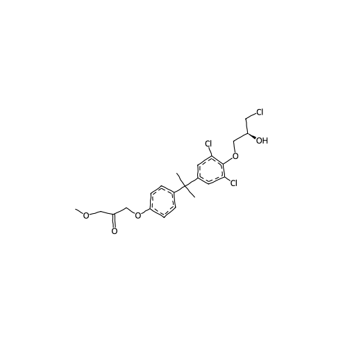 COCC(=O)COc1ccc(C(C)(C)c2cc(Cl)c(OC[C@H](O)CCl)c(Cl)c2)cc1